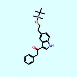 CC(C)(C)[Si](C)(C)OCCc1ccc2[nH]cc(C(=O)Cc3ccccc3)c2c1